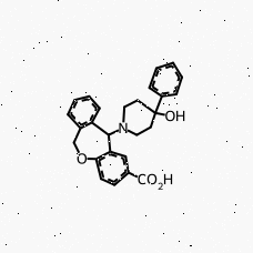 O=C(O)c1ccc2c(c1)C(N1CCC(O)(c3ccccc3)CC1)c1ccccc1CO2